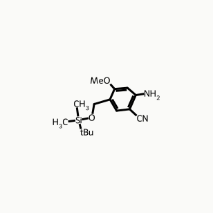 COc1cc(N)c(C#N)cc1CO[Si](C)(C)C(C)(C)C